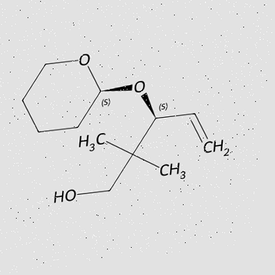 C=C[C@H](O[C@H]1CCCCO1)C(C)(C)CO